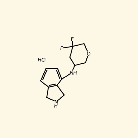 Cl.FC1(F)COCC(Nc2cccc3c2CNC3)C1